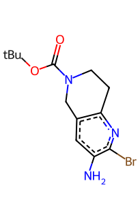 CC(C)(C)OC(=O)N1CCc2nc(Br)c(N)cc2C1